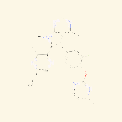 C#Cc1cnc(-c2c(-c3ccc(Oc4nccc(C)n4)c(F)c3)c3c(C)ncnc3n2C)c(C)n1